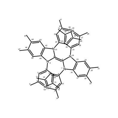 Cc1cc(N2C(=C3N(c4cc(C)nc(C)c4)c4cc(C)c(C)cc4N3c3cc(C)nc(C)c3)N(c3cc(C)nc(C)c3)c3cc(C)c(C)cc32)cc(C)n1